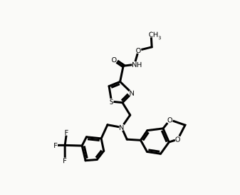 CCONC(=O)c1csc(CN(Cc2cccc(C(F)(F)F)c2)Cc2ccc3c(c2)OCO3)n1